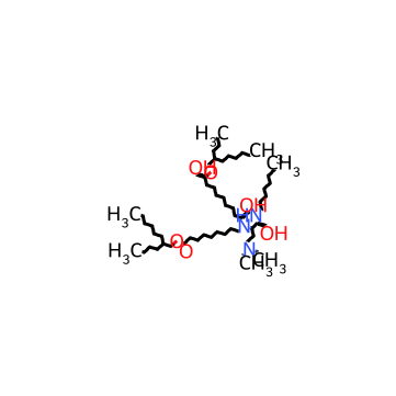 CCCCCCCCNC(=CO)C(CCN(CC)CC)N(CCCCCCCCC(=O)OCC(CCCC)CCCCCC)C(=CO)CCCCCCCC(=CO)OCC(CCCC)CCCCCC